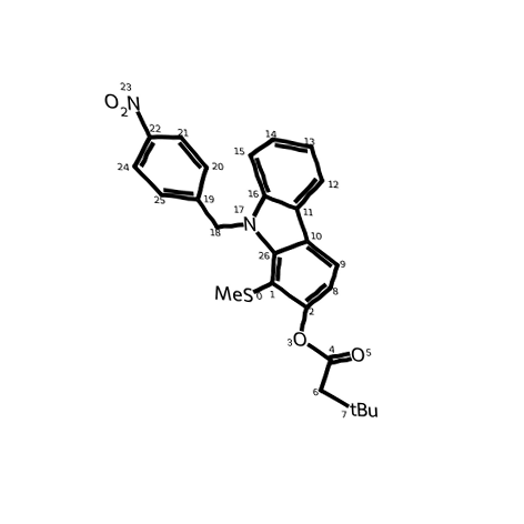 CSc1c(OC(=O)CC(C)(C)C)ccc2c3ccccc3n(Cc3ccc([N+](=O)[O-])cc3)c12